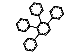 [c]1[c]c(-c2ccccc2)c(-c2ccccc2)c(-c2ccccc2)c1-c1ccccc1